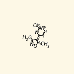 Cc1noc(C)c1-c1ccnc(Cl)n1